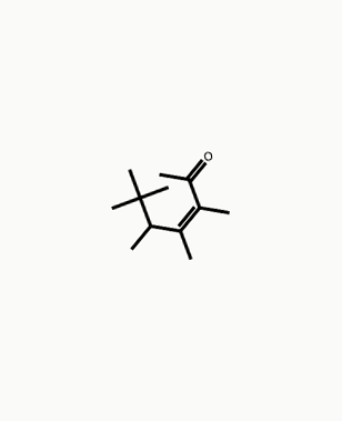 CC(=O)C(C)=C(C)C(C)C(C)(C)C